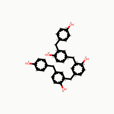 Oc1ccc(Cc2ccc(O)c(Cc3ccc(O)c(Cc4ccc(O)c(Cc5ccc(O)cc5)c4)c3)c2)cc1